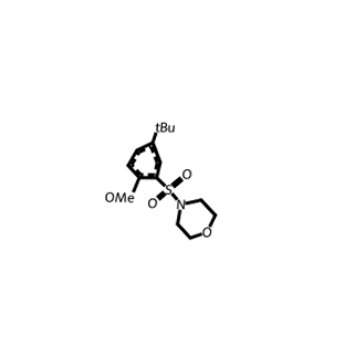 COc1ccc(C(C)(C)C)cc1S(=O)(=O)N1CCOCC1